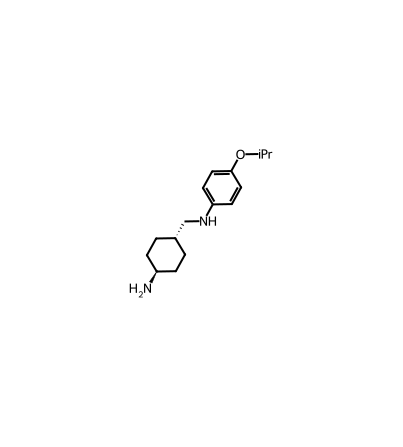 CC(C)Oc1ccc(NC[C@H]2CC[C@H](N)CC2)cc1